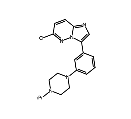 CCCN1CCN(c2cccc(-c3cnc4ccc(Cl)nn34)c2)CC1